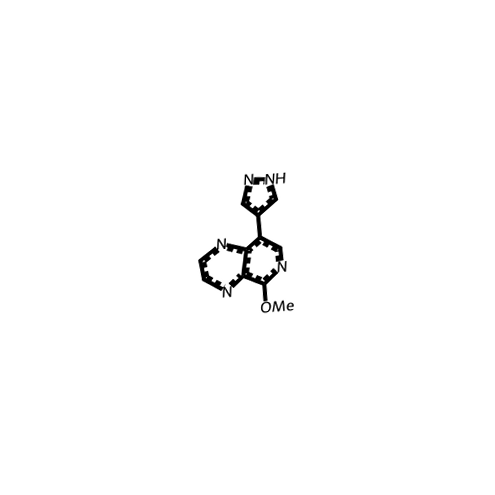 COc1ncc(-c2cn[nH]c2)c2nccnc12